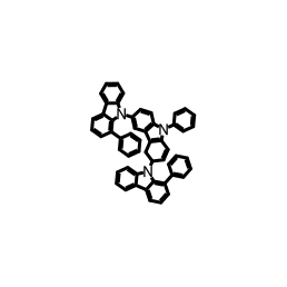 C1=CC(n2c3ccccc3c3cccc(-c4ccccc4)c32)Cc2c1n(-c1ccccc1)c1ccc(-n3c4ccccc4c4cccc(-c5ccccc5)c43)cc21